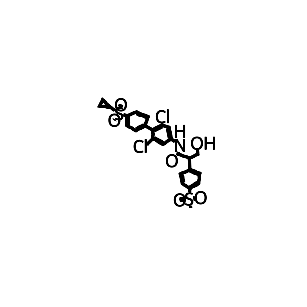 CS(=O)(=O)c1ccc(C(CO)C(=O)Nc2cc(Cl)c(-c3ccc(S(=O)(=O)C4CC4)cc3)c(Cl)c2)cc1